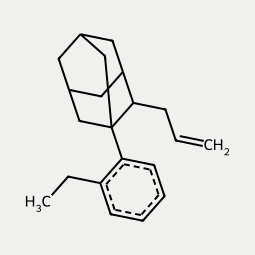 C=CCC1C2CC3CC(C2)CC1(c1ccccc1CC)C3